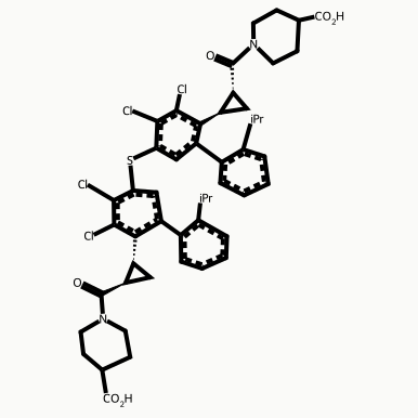 CC(C)c1ccccc1-c1cc(Sc2cc(-c3ccccc3C(C)C)c([C@@H]3C[C@H]3C(=O)N3CCC(C(=O)O)CC3)c(Cl)c2Cl)c(Cl)c(Cl)c1[C@@H]1C[C@H]1C(=O)N1CCC(C(=O)O)CC1